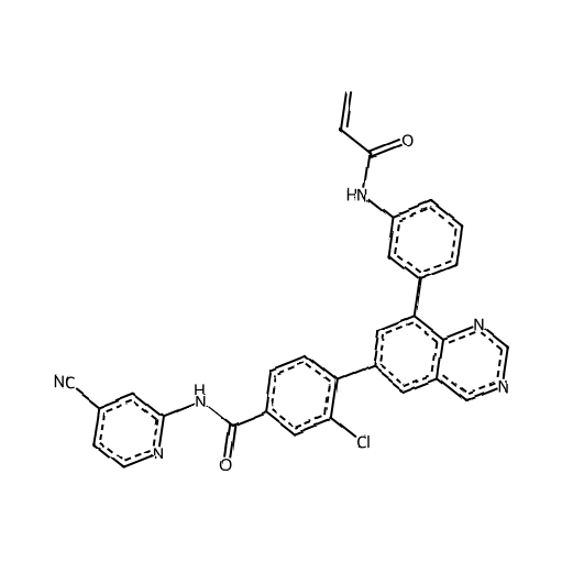 C=CC(=O)Nc1cccc(-c2cc(-c3ccc(C(=O)Nc4cc(C#N)ccn4)cc3Cl)cc3cncnc23)c1